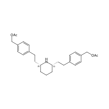 CC(=O)OCc1ccc(CC[C@H]2CCC[C@@H](CCc3ccc(COC(C)=O)cc3)N2)cc1